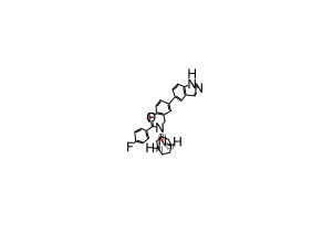 CN1[C@@H]2CC[C@H]1C[C@@H](N(Cc1cc(-c3ccc4[nH]ncc4c3)ccc1F)C(=O)c1ccc(F)cc1)C2